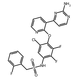 Nc1nccc(-c2cccnc2Oc2c(Cl)cc(NS(=O)(=O)Cc3ccccc3F)c(F)c2F)n1